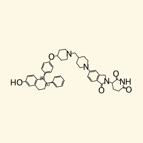 O=C1CCC(N2Cc3cc(N4CCC(CN5CCC(Oc6ccc([C@@H]7c8ccc(O)cc8CC[C@@H]7c7ccccc7)cc6)CC5)CC4)ccc3C2=O)C(=O)N1